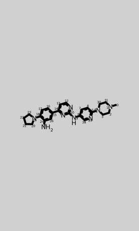 CN1CCN(c2ccc(Nc3nccc(-c4ccc(N5CCCC5)c(N)c4)n3)cn2)CC1